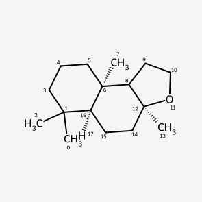 CC1(C)CCC[C@@]2(C)C3CCO[C@@]3(C)CC[C@@H]12